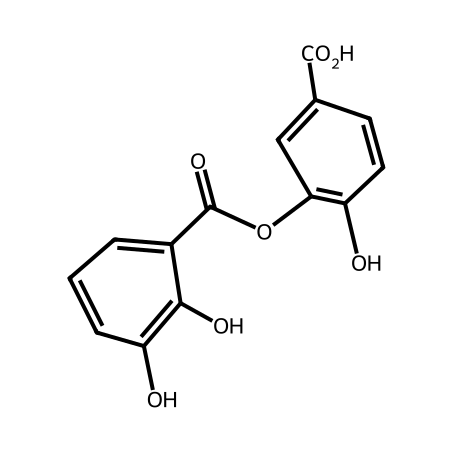 O=C(O)c1ccc(O)c(OC(=O)c2cccc(O)c2O)c1